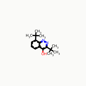 CC(C)(C)c1nnc2c(C(C)(C)C)cccc2c1O